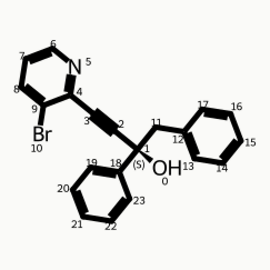 O[C@@](C#Cc1ncccc1Br)(Cc1ccccc1)c1ccccc1